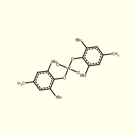 Cc1cc(C(C)(C)C)c([O][W]([Cl])([Cl])[O]c2c(C(C)(C)C)cc(C)cc2C(C)(C)C)c(C(C)(C)C)c1